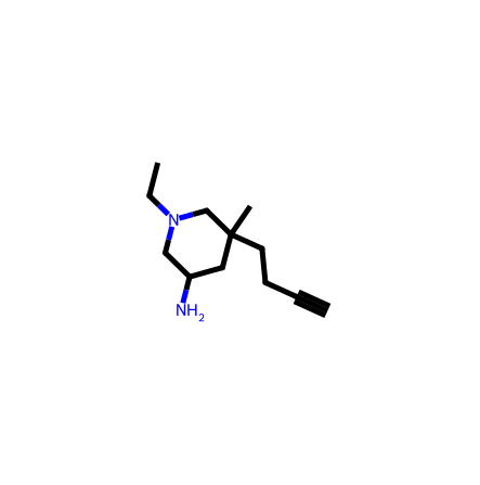 C#CCCC1(C)CC(N)CN(CC)C1